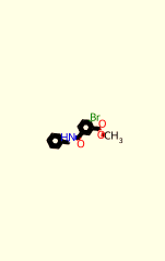 COC(=O)c1cc(C(=O)NCc2ccccc2)ccc1Br